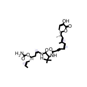 C/C=C\C[C@@H](C/C=C\NC(=O)[C@@H](NC(=O)C#C/C=C\C(C)=C\[C@H](C)[C@@H]1CC=C(O)C(=O)O1)C(C)(C)C)OC(N)=O